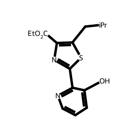 CCOC(=O)c1nc(-c2ncccc2O)sc1CC(C)C